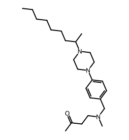 CCCCCCCC(C)N1CCN(c2ccc(CN(C)CCC(C)=O)cc2)CC1